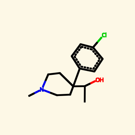 CC(O)C1(c2ccc(Cl)cc2)CCN(C)CC1